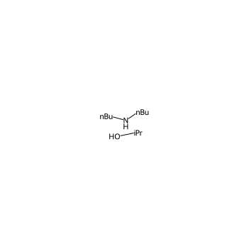 CC(C)O.CCCCNCCCC